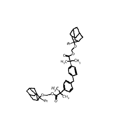 CC(C)C1(OCOC(=O)C(C)(C)c2ccc(Cc3ccc(C(C)(C)C(=O)OCOC4(C(C)C)C5CC6CC(C5)CC4C6)cc3)cc2)C2CC3CC(C2)CC1C3